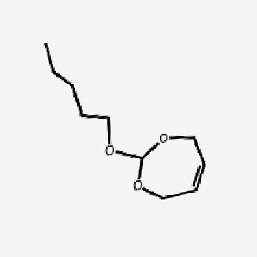 CCCCCOC1OCC=CCO1